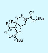 CC(C)(C)OC(=O)N1CCC(F)([C@@H](N[S+]([O-])C(C)(C)C)C(F)F)CC1